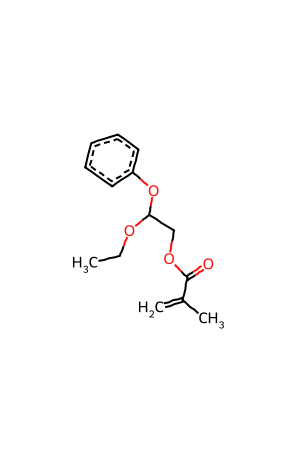 C=C(C)C(=O)OCC(OCC)Oc1ccccc1